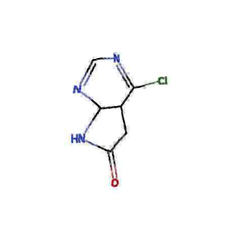 O=C1CC2C(Cl)=NC=NC2N1